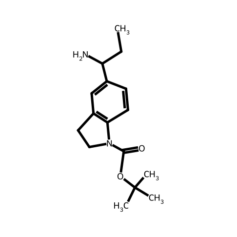 CCC(N)c1ccc2c(c1)CCN2C(=O)OC(C)(C)C